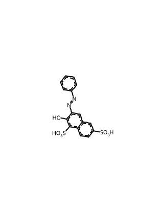 O=S(=O)(O)c1ccc2c(S(=O)(=O)O)c(O)c(N=Nc3ccccc3)cc2c1